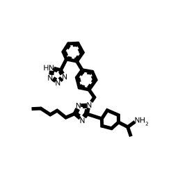 CCCCCc1nc(C2CCC(C(C)N)CC2)n(Cc2ccc(-c3ccccc3-c3nnn[nH]3)cc2)n1